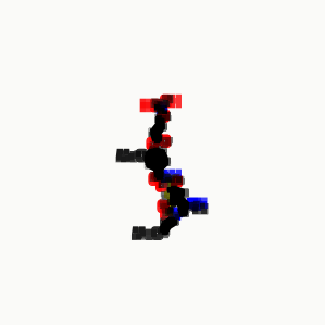 CCN[C@H]1CN(CCCOC)S(=O)(=O)c2sc(S(=O)(=O)NC(=O)c3ccc(OC(=O)CCCON(O)O)c(OC)c3)cc21